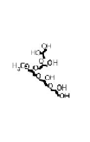 COCC(COCC(O)COCC(O)CO)OCC(CO)OCC(O)CO